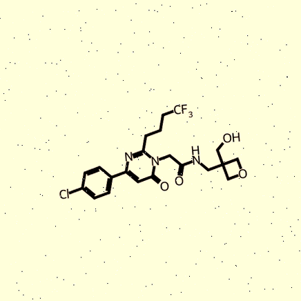 O=C(Cn1c(CCCC(F)(F)F)nc(-c2ccc(Cl)cc2)cc1=O)NCC1(CO)COC1